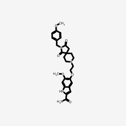 COc1ccc(CN2C(=O)CC3(CCN(CCOc4cc5cc(C(N)=O)[nH]c5cc4OC)CC3)C2=O)cc1